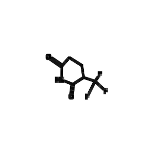 O=C1CCC(C(F)(F)F)C(=O)N1